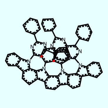 c1ccc(-c2nc(-c3ccccc3)nc(-n3c4ccccc4c4ccc5c6ccc7c8ccc9c%10ccccc%10n(-c%10nc(-c%11ccccc%11)c%11nc(-c%12ccccc%12)ncc%11n%10)c9c8n(-c8ccccc8)c7c6n(-c6ccccc6)c5c43)n2)cc1